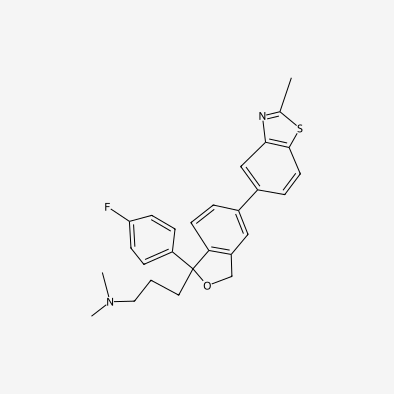 Cc1nc2cc(-c3ccc4c(c3)COC4(CCCN(C)C)c3ccc(F)cc3)ccc2s1